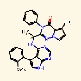 COc1ccccc1-c1c[nH]c2ncnc(N[C@@H](C)c3nn4ccc(C)c4c(=O)n3-c3ccccc3)c12